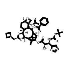 CC(=O)O[C@@]12CO[C@@H]1CC[C@@]1(C)[C@@H]3O[C@H](CN4CCC4)O[C@@H]3C3=C(C)[C@@H](OC(=O)[C@H](O)[C@@H](NC(=O)OC(C)(C)C)c4cnco4)C[C@@](O)([C@@H](OC(=O)c4ccccc4)[C@@H]12)C3(C)C